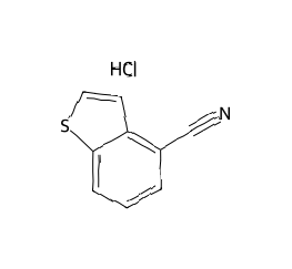 Cl.N#Cc1cccc2sccc12